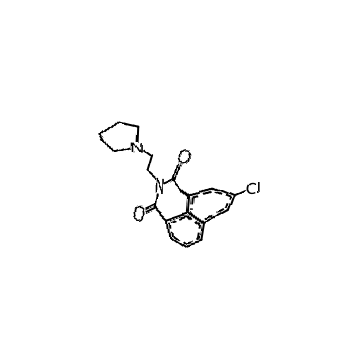 O=C1c2cccc3cc(Cl)cc(c23)C(=O)N1CCN1CCCC1